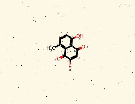 Cc1ccc(O)c2c1C(=O)C(Br)=CC2=O